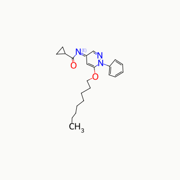 CCCCCCCCOc1c/c(=N\C(=O)C2CC2)cnn1-c1ccccc1